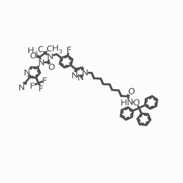 CC1(C)C(=O)N(c2cnc(C#N)c(C(F)(F)F)c2)C(=O)N1Cc1ccc(-c2cn(CCCCCCCCC(=O)NOC(c3ccccc3)(c3ccccc3)c3ccccc3)nn2)cc1F